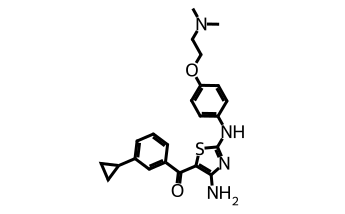 CN(C)CCOc1ccc(Nc2nc(N)c(C(=O)c3cccc(C4CC4)c3)s2)cc1